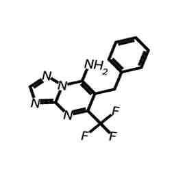 Nc1c(Cc2ccccc2)c(C(F)(F)F)nc2ncnn12